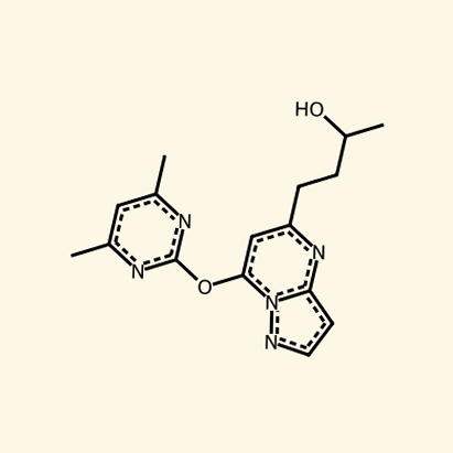 Cc1cc(C)nc(Oc2cc(CCC(C)O)nc3ccnn23)n1